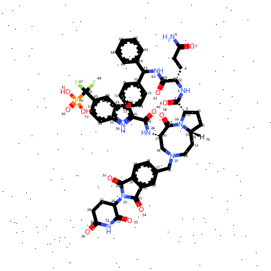 NC(=O)CC[C@H](NC(=O)[C@@H]1CC[C@@H]2CCN(Cc3ccc4c(c3)C(=O)N(C3CCC(=O)NC3=O)C4=O)C[C@H](NC(=O)c3cc4cc(C(F)(F)P(=O)(O)O)ccc4[nH]3)C(=O)N21)C(=O)NC(c1ccccc1)c1ccccc1